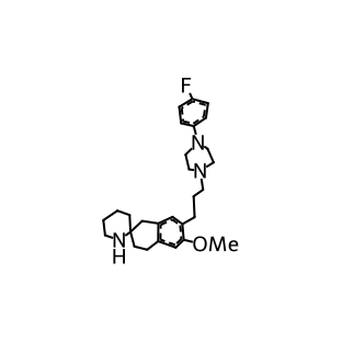 COc1cc2c(cc1CCCN1CCN(c3ccc(F)cc3)CC1)CC1(CCCCN1)CC2